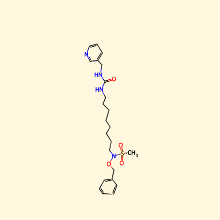 CS(=O)(=O)N(CCCCCCCCNC(=O)NCc1cccnc1)OCc1ccccc1